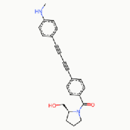 CNc1ccc(C#CC#Cc2ccc(C(=O)N3CCC[C@H]3CO)cc2)cc1